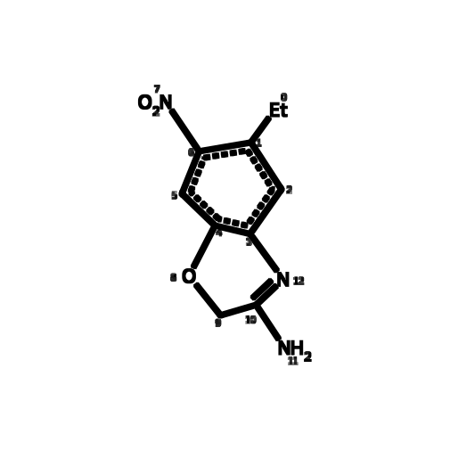 CCc1cc2c(cc1[N+](=O)[O-])OCC(N)=N2